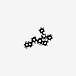 c1ccc(-c2nc(-c3ccccc3)nc(-c3cc(-c4cccc(-c5ccc6ccccc6c5)c4)cc4oc5ccccc5c34)n2)cc1